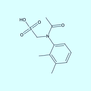 CC(=O)N(CS(=O)(=O)O)c1cccc(C)c1C